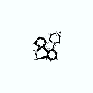 C1=c2cccc(N3CCNCC3)c2=c2ccccc2=NS1